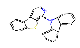 c1ccc2c(c1)sc1c(-n3c4ccccc4c4ccccc43)nccc12